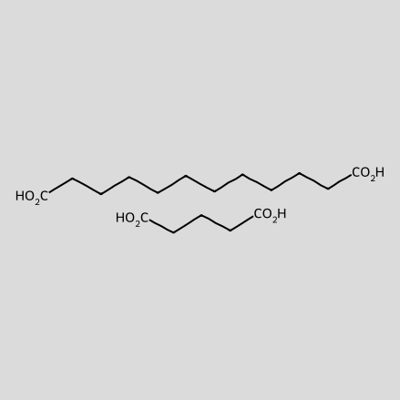 O=C(O)CCCC(=O)O.O=C(O)CCCCCCCCCCC(=O)O